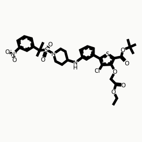 CCOC(=O)COc1c(C(=O)OC(C)(C)C)sc(-c2cccc(NC3CCN(S(=O)(=O)C(C)(C)c4cccc([N+](=O)[O-])c4)CC3)c2)c1Cl